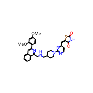 COc1ccc(-c2cc3ccccc3c(CNCC3CCN(c4nccc(C=C5SC(=O)NC5=O)n4)CC3)n2)c(OC)c1